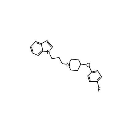 Fc1ccc(OC2CCN(CCCn3ccc4ccccc43)CC2)cc1